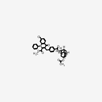 COC(=O)c1c(Cc2ccc(C(=O)N[C@@H]3[C@@H]4C[C@@H]5C[C@H]3C[C@@](OC(C)=O)(C5)C4)cc2)c(=O)c2ccc(Cl)cc2n1-c1ccccc1